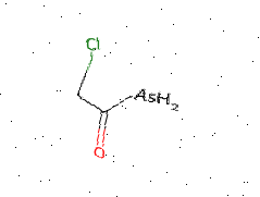 O=C([AsH2])CCl